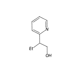 CCC(CO)c1ccccn1